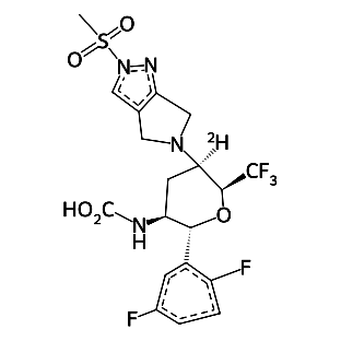 [2H][C@@]1(N2Cc3cn(S(C)(=O)=O)nc3C2)C[C@H](NC(=O)O)[C@@H](c2cc(F)ccc2F)O[C@@H]1C(F)(F)F